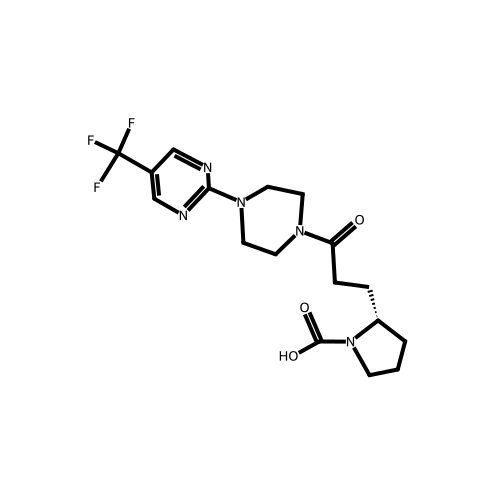 O=C(CC[C@@H]1CCCN1C(=O)O)N1CCN(c2ncc(C(F)(F)F)cn2)CC1